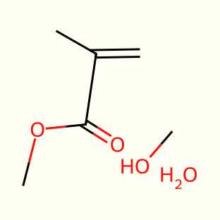 C=C(C)C(=O)OC.CO.O